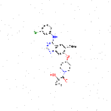 COc1cc2c(Nc3cccc(Br)c3)ncnc2cc1OC1CCN(C(=O)[C@@H](C)O)CC1